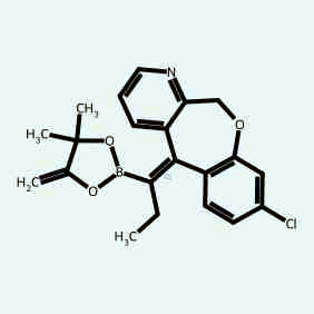 C=C1OB(/C(CC)=C2/c3ccc(Cl)cc3OCc3ncccc32)OC1(C)C